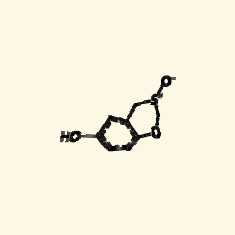 [O-][S+]1COc2ccc(O)cc2C1